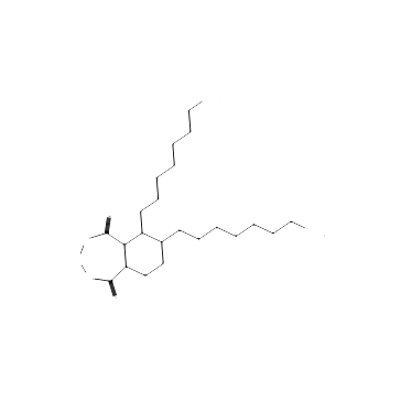 CCCCCCCCC1CCC2C(=O)OOOC(=O)C2C1CCCCCCCC